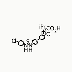 CC(C)C(C(=O)O)N1Cc2cc(-c3ccc(NC(=S)Nc4ccc(Cl)cc4)cc3)ccc2C1=O